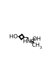 CB(O)NC[C@H]1C[C@H](O)C1